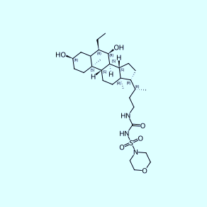 CC[C@@H]1C2C[C@H](O)CC[C@]2(C)[C@H]2CC[C@]3(C)[C@@H]([C@H](C)CCNC(=O)NS(=O)(=O)N4CCOCC4)CC[C@H]3[C@@H]2[C@@H]1O